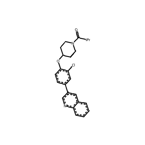 CC(C)C(=O)N1CCC(Oc2ccc(-c3cnc4ccccc4c3)cc2Cl)CC1